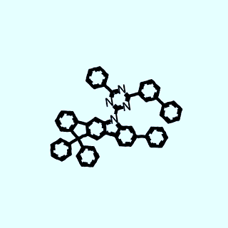 c1ccc(-c2cccc(-c3nc(-c4ccccc4)nc(-n4c5cc(-c6ccccc6)ccc5c5cc6c(cc54)-c4ccccc4C6(c4ccccc4)c4ccccc4)n3)c2)cc1